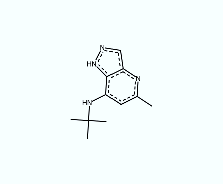 Cc1cc(NC(C)(C)C)c2[nH]ncc2n1